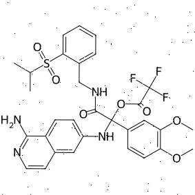 COc1ccc(C(Nc2ccc3c(N)nccc3c2)(OC(=O)C(F)(F)F)C(=O)NCc2ccccc2S(=O)(=O)C(C)C)cc1OC